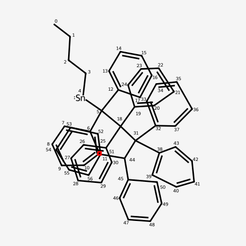 CCC[CH2][Sn][C](c1ccccc1)(c1ccccc1)C(c1ccccc1)(c1ccccc1)C(c1ccccc1)(c1ccccc1)C(c1ccccc1)c1ccccc1